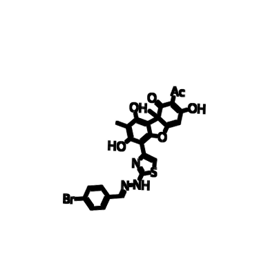 CC(=O)C1=C(O)C=C2Oc3c(-c4csc(NN=Cc5ccc(Br)cc5)n4)c(O)c(C)c(O)c3C2(C)C1=O